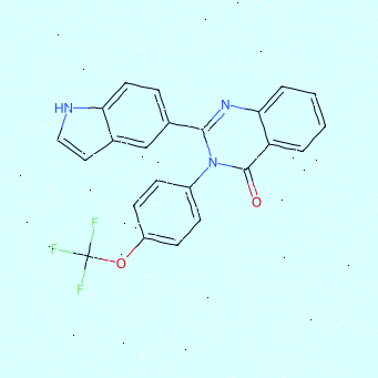 O=c1c2ccccc2nc(-c2ccc3[nH]ccc3c2)n1-c1ccc(OC(F)(F)F)cc1